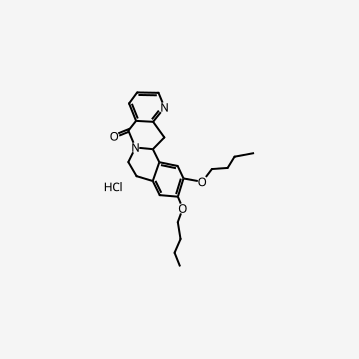 CCCCOc1cc2c(cc1OCCCC)C1Cc3ncccc3C(=O)N1CC2.Cl